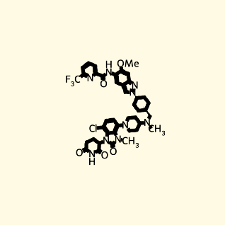 COc1cc2nn([C@H]3CC[C@H](CN(C)C4CCN(c5ccc(Cl)c6c5n(C)c(=O)n6C5CCC(=O)NC5=O)CC4)CC3)cc2cc1NC(=O)c1cccc(C(F)(F)F)n1